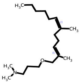 CCCCC/C=C(/C)CC/C=C(\C)COCCCN(C)C